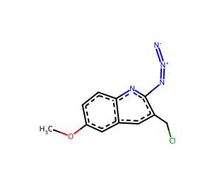 COc1ccc2nc(N=[N+]=[N-])c(CCl)cc2c1